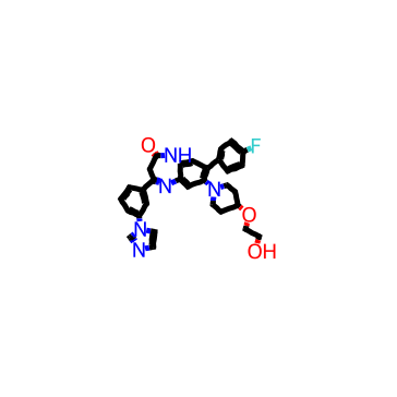 O=C1CC(c2cccc(-n3ccnc3)c2)=Nc2cc(N3CCC(OCCO)CC3)c(-c3ccc(F)cc3)cc2N1